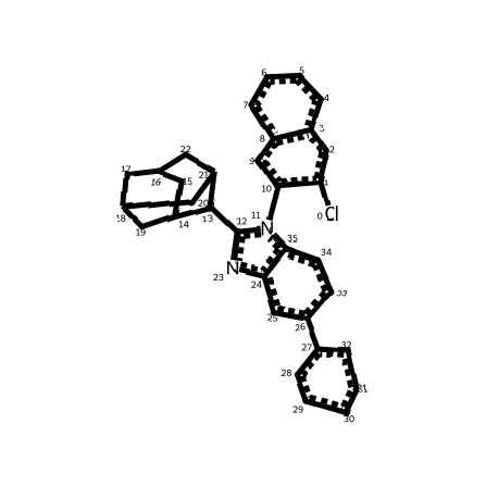 Clc1cc2ccccc2cc1-n1c(C2C3CC4CC(C3)CC2C4)nc2cc(-c3ccccc3)ccc21